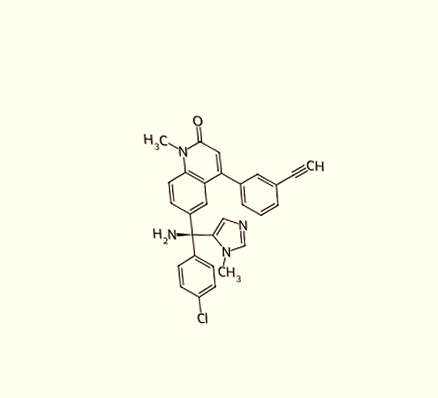 C#Cc1cccc(-c2cc(=O)n(C)c3ccc([C@@](N)(c4ccc(Cl)cc4)c4cncn4C)cc23)c1